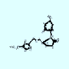 CCc1ccc(N2C(=O)CC[C@H]2COCc2ncc(C(=O)O)s2)cc1